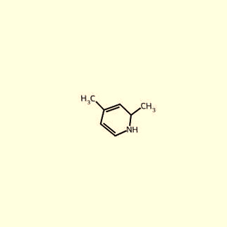 CC1=CC(C)NC=C1